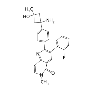 Cn1ccc2nc(-c3ccc(C4(N)CC(C)(O)C4)cc3)c(-c3ccccc3F)cc2c1=O